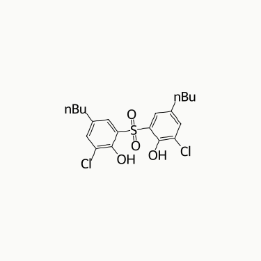 CCCCc1cc(Cl)c(O)c(S(=O)(=O)c2cc(CCCC)cc(Cl)c2O)c1